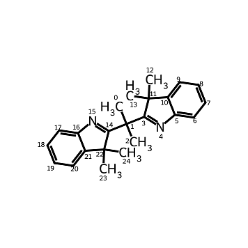 CC(C)(C1=Nc2ccccc2C1(C)C)C1=Nc2ccccc2C1(C)C